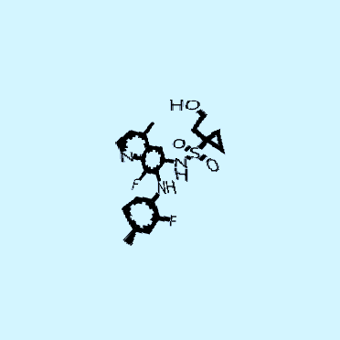 Cc1ccc(Nc2c(NS(=O)(=O)C3(CCO)CC3)cc3c(C)ccnc3c2F)c(F)c1